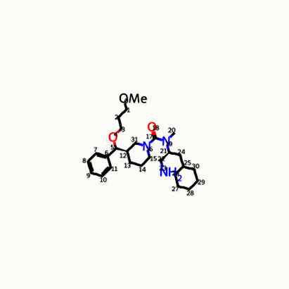 COCCCOC(c1ccccc1)[C@@H]1CCCN(C(=O)N(C)[C@H](CN)CC2CCCCC2)C1